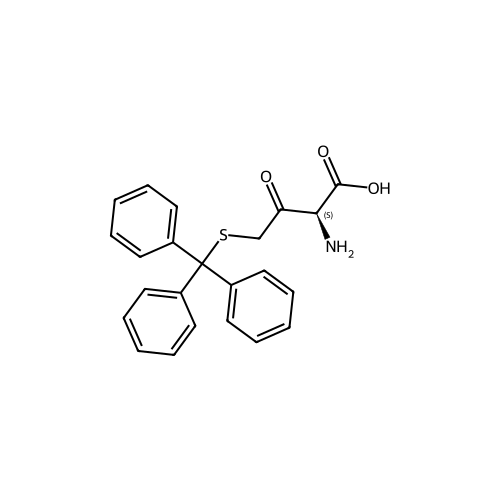 N[C@H](C(=O)O)C(=O)CSC(c1ccccc1)(c1ccccc1)c1ccccc1